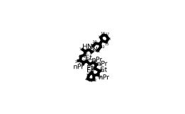 CCCC(C(C)CCC(C)C1CN2CCC(C3CCCCC3)CC2N1)C(CC)C(CC)C(CCC)C(CCC)C(CC)C(CC)C(CCC)C1CCCCC1